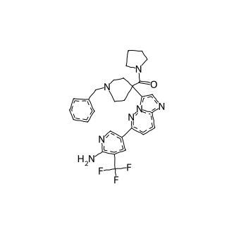 Nc1ncc(-c2ccc3ncc(C4(C(=O)N5CCCC5)CCN(Cc5ccccc5)CC4)n3n2)cc1C(F)(F)F